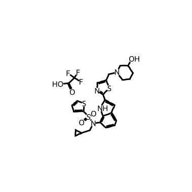 O=C(O)C(F)(F)F.O=S(=O)(c1cccs1)N(CC1CC1)c1cccc2cc(-c3ncc(CN4CCCC(O)C4)s3)[nH]c12